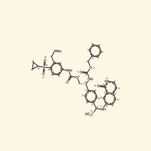 CNCc1cc(NC(=O)OC[C@H](NC(=O)OCc2ccccc2)c2ccc(C(Nc3ccc4cc[nH]c(=O)c4c3)C(=O)O)cc2)ccc1S(=O)(=O)C1CC1